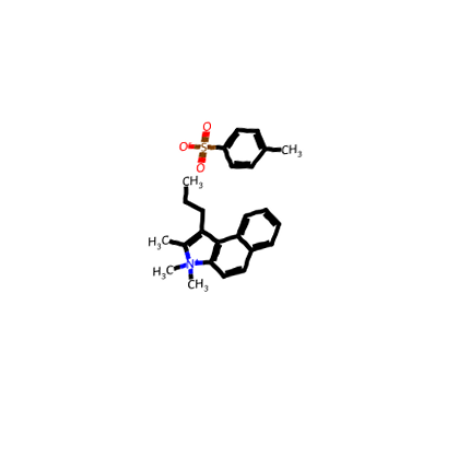 CCCC1=C(C)[N+](C)(C)c2ccc3ccccc3c21.Cc1ccc(S(=O)(=O)[O-])cc1